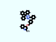 CCCc1cc(OCc2ccc(-c3ccccc3-c3nnn(C(c4ccccc4)(c4ccccc4)c4ccccc4)n3)cc2)c2ccccc2n1